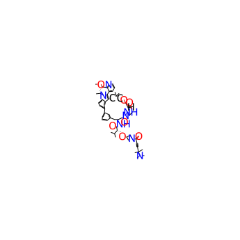 CCn1c(-c2cccnc2[C@H](C)OC)c2c3cc(ccc31)-c1cccc(c1)C[C@H](NC(=O)[C@H](COC1CN(C(=O)C#CC(C)(C)N(C)C)C1)C(C)C)C(=O)N1CCC[C@H](N1)C(=O)OCC(C)(C)C2